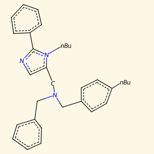 CCCCc1ccc(CN(Cc2ccccc2)Cc2cnc(-c3ccccc3)n2CCCC)cc1